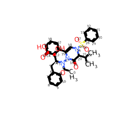 CC(=O)N([C@@H](Cc1ccccc1)C(O)C(=O)O)N1C(=O)C(C(C)C)N(S(=O)(=O)c2ccccc2)C=C1c1ccccc1